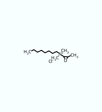 CCCCCCCC[N+](C)(C)C1OC1C.[Cl-]